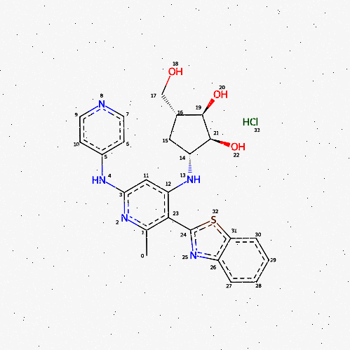 Cc1nc(Nc2ccncc2)cc(N[C@@H]2C[C@H](CO)[C@@H](O)[C@H]2O)c1-c1nc2ccccc2s1.Cl